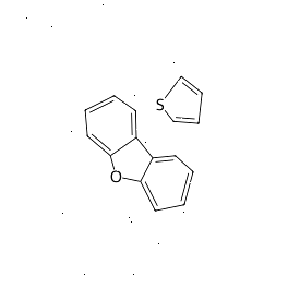 c1ccc2c(c1)oc1ccccc12.c1ccsc1